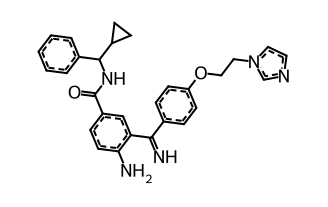 N=C(c1ccc(OCCn2ccnc2)cc1)c1cc(C(=O)NC(c2ccccc2)C2CC2)ccc1N